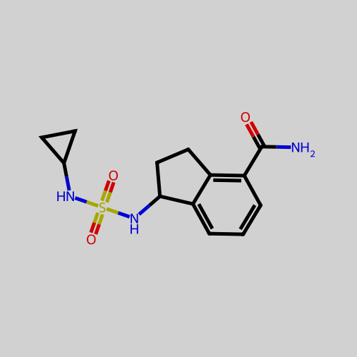 NC(=O)c1cccc2c1CCC2NS(=O)(=O)NC1CC1